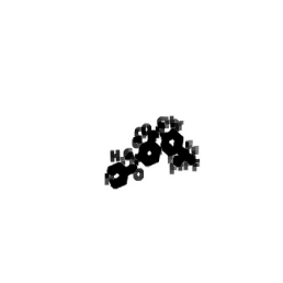 COc1c(C(=O)N(C)C2C(Br)=CC(C(F)(C(F)(F)F)C(F)(F)F)=CC2Br)cccc1N(C)C(=O)c1ccncc1